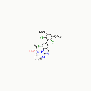 C=CC(O)N[C@H]1CCC[C@H]1Nc1ncc2cc(-c3c(Cl)c(OC)cc(OC)c3Cl)cc(F)c2n1